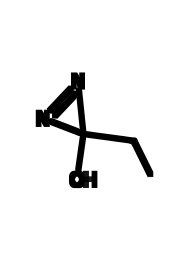 CCC1(O)N=N1